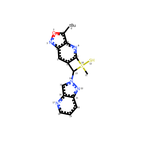 CC(C)(C)c1onc2cc3c(nc12)S(C)(S)C3n1cc2ncccc2n1